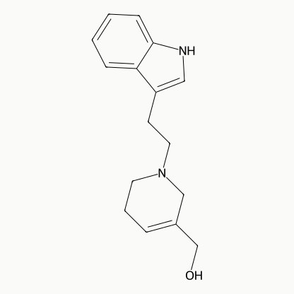 OCC1=CCCN(CCc2c[nH]c3ccccc23)C1